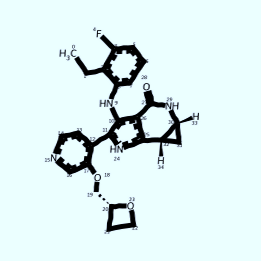 CCc1c(F)cccc1Nc1c(-c2ccncc2OC[C@H]2CCO2)[nH]c2c1C(=O)N[C@@H]1C[C@H]21